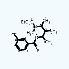 CCOC(=O)N(C)C(C)C(C)C(C)OC(=O)c1cccc(Cl)c1